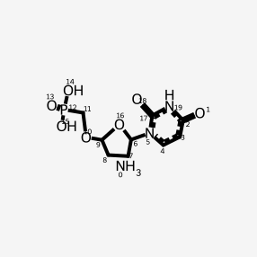 N.O=c1ccn(C2CCC(OCP(=O)(O)O)O2)c(=O)[nH]1